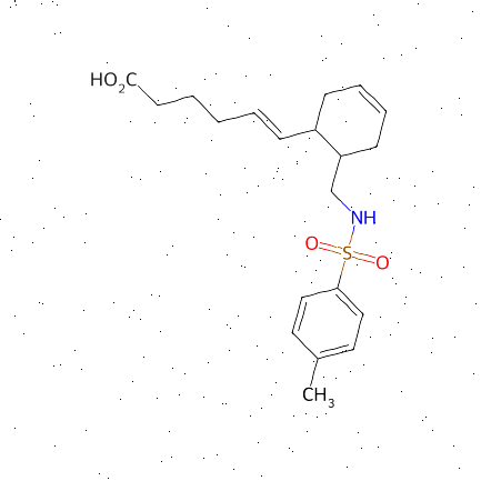 Cc1ccc(S(=O)(=O)NCC2CC=CCC2C=CCCCC(=O)O)cc1